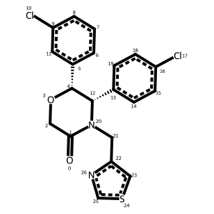 O=C1CO[C@H](c2cccc(Cl)c2)[C@H](c2ccc(Cl)cc2)N1Cc1cscn1